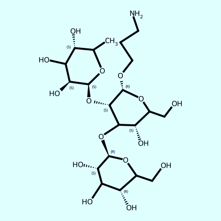 CC1O[C@@H](O[C@H]2C(O[C@H]3OC(CO)[C@H](O)C(O)[C@@H]3O)[C@@H](O)C(CO)O[C@H]2OCCCN)[C@@H](O)C(O)[C@@H]1O